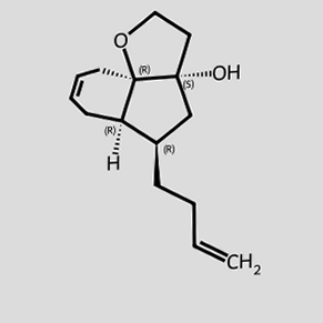 C=CCC[C@@H]1C[C@]2(O)CCO[C@@]23CC=CC[C@H]13